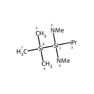 CN[Si](NC)(C(C)C)[Si](C)(C)C